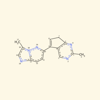 Cc1ncc2c(n1)CC=C2c1ccc2ncc(C)n2n1